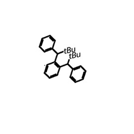 CC(C)(C)C(c1ccccc1)c1[c]cccc1C(c1ccccc1)C(C)(C)C